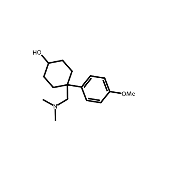 COc1ccc(C2(CN(C)C)CCC(O)CC2)cc1